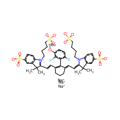 CCCCOc1ccc(F)c(C2=C(/C=C/C3=[N+](CCCCS(=O)(=O)[O-])c4ccc(S(=O)(=O)[O-])cc4C3(C)C)CCC/C2=C\C=C2/N(CCCCS(=O)(=O)[O-])c3ccc(S(=O)(=O)[O-])cc3C2(C)C)c1F.[Na+].[Na+].[Na+]